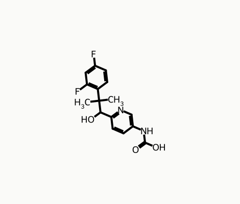 CC(C)(c1ccc(F)cc1F)C(O)c1ccc(NC(=O)O)cn1